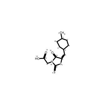 CC1CCC(C=C2SC(=S)N(CC(=O)O)C2=O)CC1